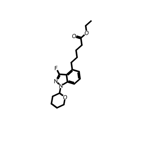 CCOC(=O)CCCCc1cccc2c1c(F)nn2C1CCCCO1